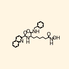 O=C(CCCCCC(NC(=O)c1ccc2ccccc2n1)C(=O)NCc1ccccc1)NO